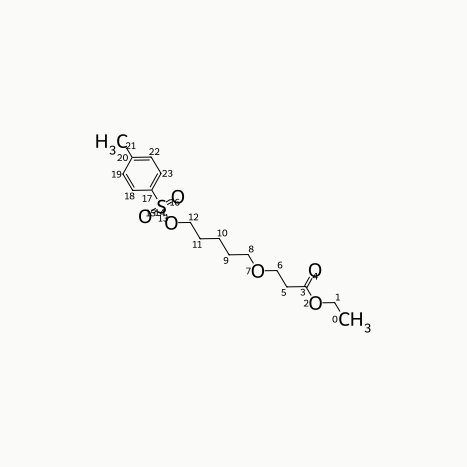 CCOC(=O)CCOCCCCCOS(=O)(=O)c1ccc(C)cc1